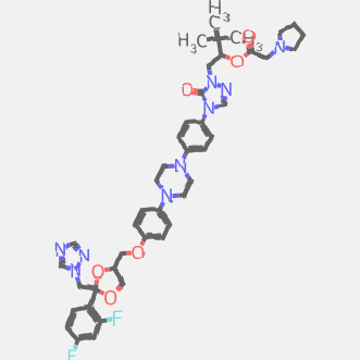 CC(C)(C)C(Cn1ncn(-c2ccc(N3CCN(c4ccc(OCC5COC(Cn6cncn6)(c6ccc(F)cc6F)O5)cc4)CC3)cc2)c1=O)OC(=O)CN1CCCC1